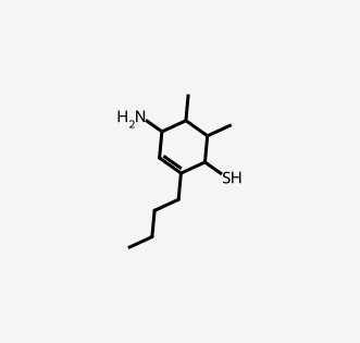 CCCCC1=CC(N)C(C)C(C)C1S